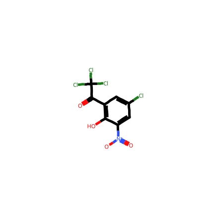 O=C(c1cc(Cl)cc([N+](=O)[O-])c1O)C(Cl)(Cl)Cl